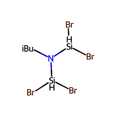 CCC(C)N([SiH](Br)Br)[SiH](Br)Br